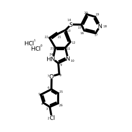 Cl.Cl.Clc1ccc(OCc2nc3cc(Sc4ccncc4)ccc3[nH]2)cc1